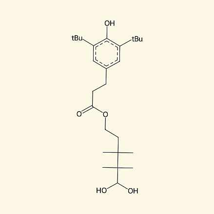 CC(C)(C)c1cc(CCC(=O)OCCC(C)(C)C(C)(C)C(O)O)cc(C(C)(C)C)c1O